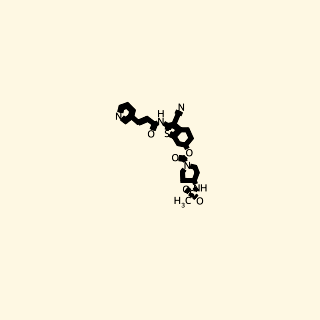 CS(=O)(=O)NC1CCN(C(=O)OC2CCc3c(sc(NC(=O)C=Cc4cccnc4)c3C#N)C2)CC1